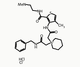 CNCCNC(=O)c1scc(C)c1NC(=O)C[N+]1(CC(=O)NCc2ccccc2)CCCCC1.Cl.[Cl-]